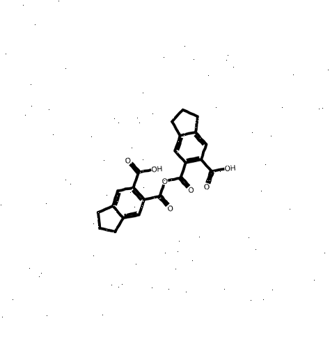 O=C(O)c1cc2c(cc1C(=O)OC(=O)c1cc3c(cc1C(=O)O)CCC3)CCC2